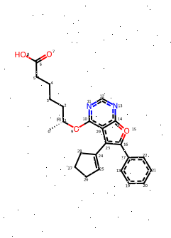 C[C@H](CCCCC(=O)O)Oc1ncnc2oc(-c3ccccc3)c(C3=CCCC3)c12